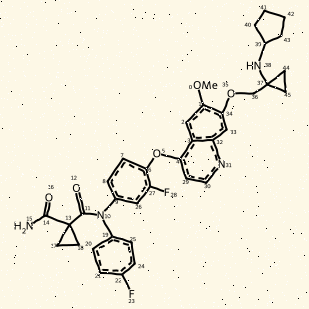 COc1cc2c(Oc3ccc(N(C(=O)C4(C(N)=O)CC4)c4ccc(F)cc4)cc3F)ccnc2cc1OCC1(NC2CCCC2)CC1